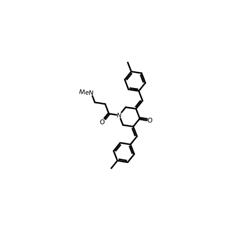 CNCCC(=O)N1C/C(=C\c2ccc(C)cc2)C(=O)/C(=C/c2ccc(C)cc2)C1